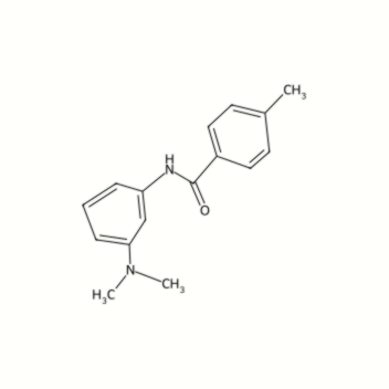 Cc1ccc(C(=O)Nc2cccc(N(C)C)c2)cc1